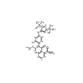 CSC[C@H](C)N(C(=O)c1c(I)cccc1C(N)=O)c1ccc(Cn2nc(C(F)(F)F)cc2C(F)(F)F)cc1C